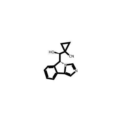 N#CC1([C@H](O)[C@H]2c3ccccc3-c3cncn32)CC1